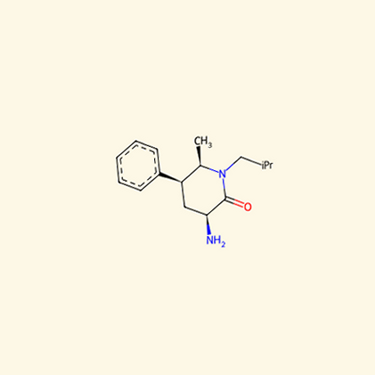 CC(C)CN1C(=O)[C@@H](N)C[C@@H](c2ccccc2)[C@H]1C